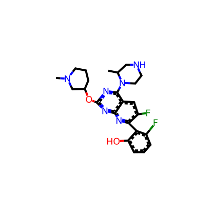 CC1CNCCN1c1nc(OC2CCCN(C)C2)nc2nc(-c3c(O)cccc3F)c(F)cc12